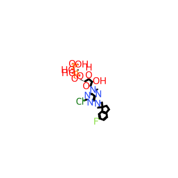 O=P(O)(O)CP(=O)(O)OC[C@H]1O[C@@H](n2cnc3c(N4CC5(CCc6ccc(F)cc65)C4)nc(Cl)nc32)[C@@H](O)C1O